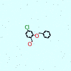 O=Cc1ccc(Cl)cc1OCc1ccccc1